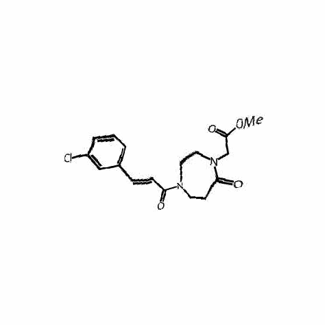 COC(=O)CN1CCN(C(=O)C=Cc2cccc(Cl)c2)CCC1=O